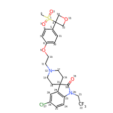 CS(=O)(=O)C1(c2ccc(OCCN3CCC4(CC3)C(=O)N(CC(F)(F)F)c3ccc(Cl)cc34)cc2)COC1